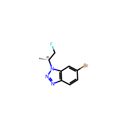 C[C@H](CF)n1nnc2ccc(Br)cc21